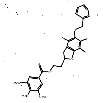 COc1cc(C(=O)NCCC2Cc3c(C)c(OCc4ccccc4)c(C)c(C)c3O2)cc(OC)c1OC